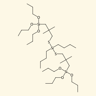 CCCC[Si](CCCC)(SCC(C)(C)C[Si](OCCC)(OCCC)OCCC)SCC(C)(C)C[Si](OCCC)(OCCC)OCCC